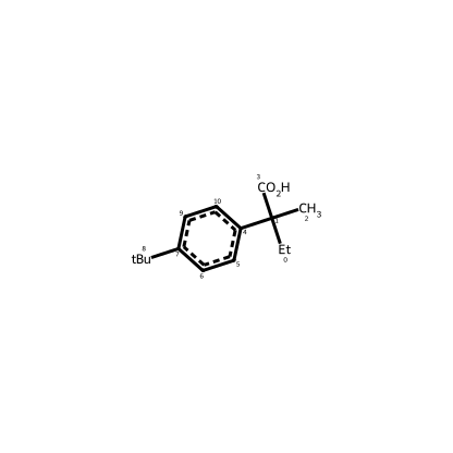 CCC(C)(C(=O)O)c1ccc(C(C)(C)C)cc1